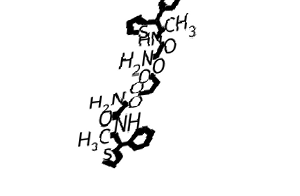 CC(NC(=O)C(N)OC(=O)/C=C\C(=O)OC(N)C(=O)NC(C)C(c1ccccc1)c1cccs1)C(c1ccccc1)c1cccs1